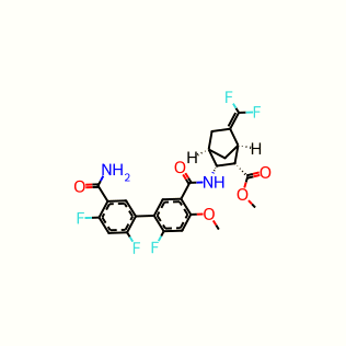 COC(=O)[C@@H]1[C@H](NC(=O)c2cc(-c3cc(C(N)=O)c(F)cc3F)c(F)cc2OC)[C@H]2CC(=C(F)F)[C@@H]1C2